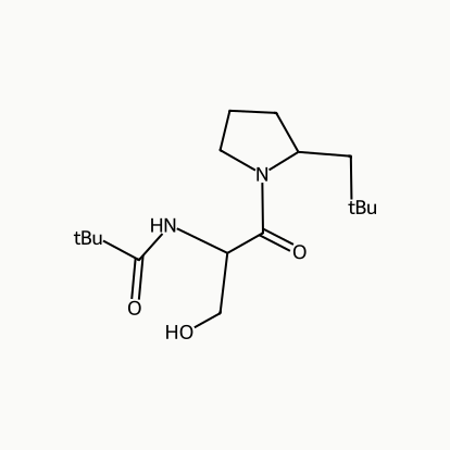 CC(C)(C)CC1CCCN1C(=O)C(CO)NC(=O)C(C)(C)C